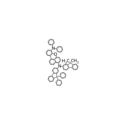 CC1(C)c2ccccc2-c2ccc(N(c3ccc4c(c3)C(c3ccccc3)(c3ccccc3)c3ccccc3-4)c3ccc4c5c(cccc35)-c3cccc(N(c5ccccc5)c5ccccc5)c3O4)cc21